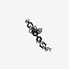 CC(C)N1CCN(c2ccc(-c3ccc(S(=O)(=O)N4CCC(N(C)C)CC4)cc3)cn2)CC1.Cl.Cl.Cl